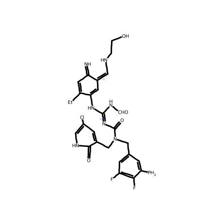 CCC1=CC(=N)/C(=C\NCCO)C=C1N/C(=N/C(=O)N(Cc1cc(F)c(F)c(P)c1)Cc1cc(Cl)c[nH]c1=O)NC=O